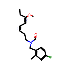 CC/C(=C\C=C/CCN(C=O)Cc1ccc(F)cc1C)OC